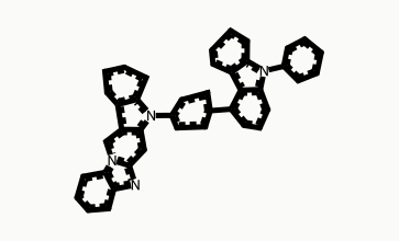 c1ccc(-n2c3ccccc3c3c(-c4ccc(-n5c6ccccc6c6cn7c(cc65)nc5ccccc57)cc4)cccc32)cc1